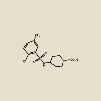 O=C(O)N1CCC(NS(=O)(=O)c2cc(C(F)(F)F)ccc2Cl)CC1